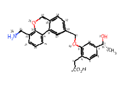 C[C@@H](O)c1ccc(CC(=O)O)c(OCc2ccc3c(c2)-c2cccc(CN)c2OC3)c1